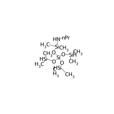 CCCN[Si](C)(C)O[Si](O[SiH](C)C)(O[SiH](C)C)O[SiH](C)C